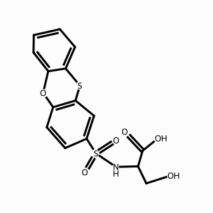 O=C(O)C(CO)NS(=O)(=O)c1ccc2c(c1)Sc1ccccc1O2